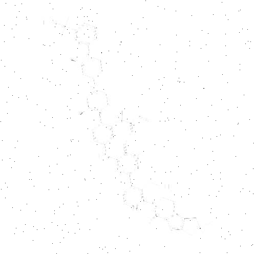 C=CC(=O)Nc1cc(Nc2nc(-c3ccnc(N4CCn5c(cc6c5CC(C)(C)C6)C4=O)c3CO)cn(C)c2=O)ccc1N1CCN(C2CCN(c3cccc(C(C)(C)N)n3)[C@H](C)C2)C[C@@H]1C